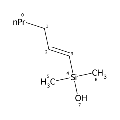 CCCCC=C[Si](C)(C)O